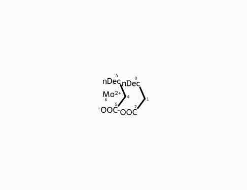 CCCCCCCCCCCC(=O)[O-].CCCCCCCCCCCC(=O)[O-].[Mo+2]